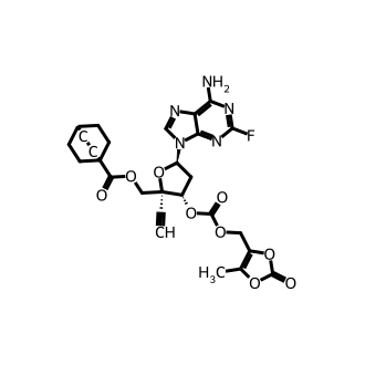 C#C[C@]1(COC(=O)C23CCC(CC2)CC3)O[C@@H](n2cnc3c(N)nc(F)nc32)C[C@@H]1OC(=O)OCc1oc(=O)oc1C